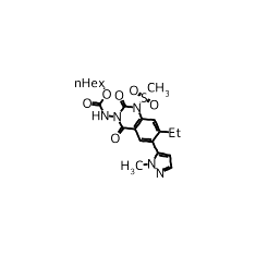 CCCCCCOC(=O)Nn1c(=O)c2cc(-c3ccnn3C)c(CC)cc2n(S(C)(=O)=O)c1=O